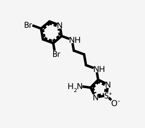 Nc1n[s+]([O-])nc1NCCCNc1ncc(Br)cc1Br